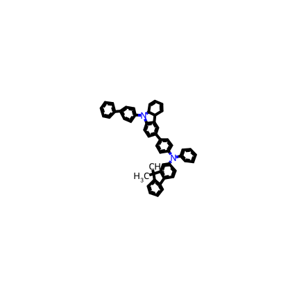 CC1(C)c2ccccc2-c2ccc(N(c3ccccc3)c3ccc(-c4ccc5c(c4)C4C=CC=CC4N5c4ccc(-c5ccccc5)cc4)cc3)cc21